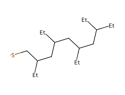 CCC(CC)CC(CC)CC(CC)CC(CC)C[S]